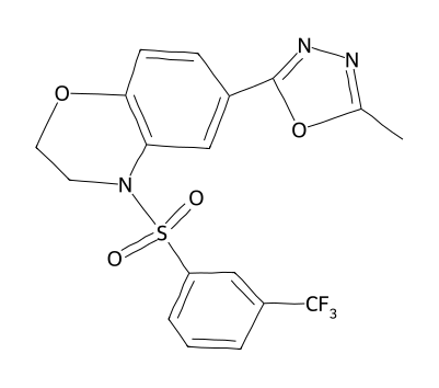 Cc1nnc(-c2ccc3c(c2)N(S(=O)(=O)c2cccc(C(F)(F)F)c2)CCO3)o1